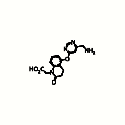 NCc1cc(Oc2cccc3c2CCC(=O)N3CC(=O)O)ncn1